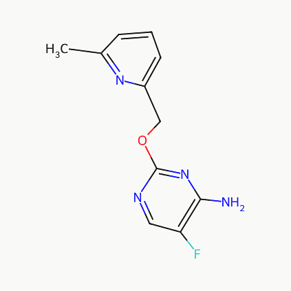 Cc1cccc(COc2ncc(F)c(N)n2)n1